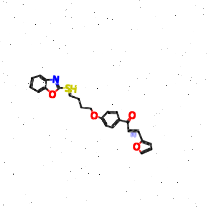 O=C(/C=C/c1ccco1)c1ccc(OCCCC=[SH]c2nc3ccccc3o2)cc1